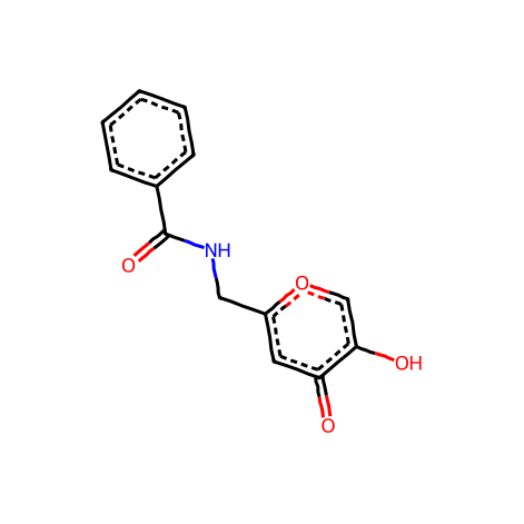 O=C(NCc1cc(=O)c(O)co1)c1ccccc1